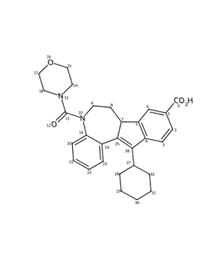 O=C(O)c1ccc2c(c1)C1CCN(C(=O)N3CCOCC3)c3ccccc3C1=C2C1CCCCC1